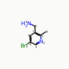 Cc1ncc(Br)cc1CN